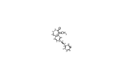 CN1C(=O)CCSc2ccc(C#Cc3cccnc3)cc21